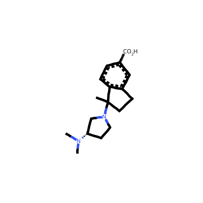 CN(C)[C@H]1CCN(C2(C)CCc3cc(C(=O)O)ccc32)C1